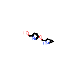 OCc1ccc(OCC2CC3CC3N2)cn1